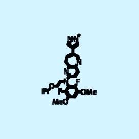 COc1cc(OC)c(F)c(N(CCOC(C)C)c2ccc3c(n2)CC=C(c2cnn(C)c2)C=N3)c1F